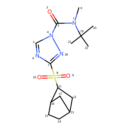 CN(C(=O)n1cnc(S(=O)(=O)C2CC3CCC2C3)n1)C(C)(C)C